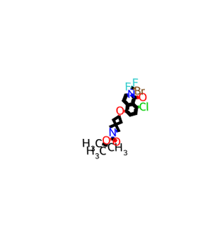 CC(C)(C)OC(=O)N1CC2(CC(Oc3ccc(Cl)c4c(=O)n(C(F)(F)Br)ccc34)C2)C1